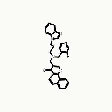 O=c1c(CN(CCCn2cnc3ccccc32)Cc2ccncc2F)coc2c1ccc1ccccc12